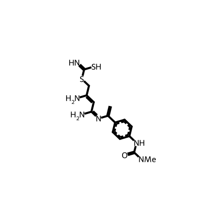 C=C(/N=C(N)\C=C(/N)CSC(=N)S)c1ccc(NC(=O)NC)cc1